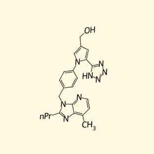 CCCc1nc2c(C)ccnc2n1Cc1ccc(-n2cc(CO)cc2-c2nnn[nH]2)cc1